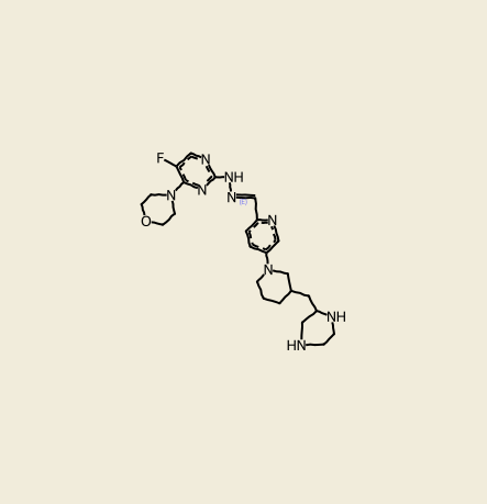 Fc1cnc(N/N=C/c2ccc(N3CCCC(CC4CNCCN4)C3)cn2)nc1N1CCOCC1